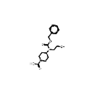 O=C(O)N1CCC(N(CCO)C(=O)OCc2ccccc2)CC1